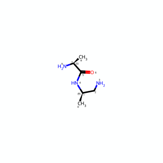 C[C@H](CN)NC(=O)[C@H](C)N